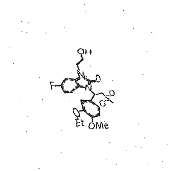 CCOc1cc([C@H](CS(C)(=O)=O)n2c(=O)n(CCO)c3cc(F)ccc32)ccc1OC